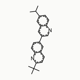 CC(C)c1ccc2ncc(-c3ccc4nc(C(C)(C)C)ccc4c3)cc2c1